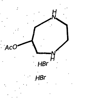 Br.Br.CC(=O)OC1CNCCNC1